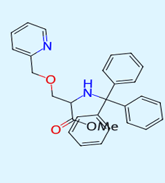 COC(=O)C(COCc1ccccn1)NC(c1ccccc1)(c1ccccc1)c1ccccc1